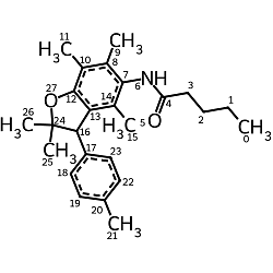 CCCCC(=O)Nc1c(C)c(C)c2c(c1C)C(c1ccc(C)cc1)C(C)(C)O2